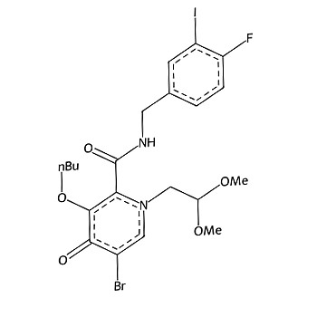 CCCCOc1c(C(=O)NCc2ccc(F)c(I)c2)n(CC(OC)OC)cc(Br)c1=O